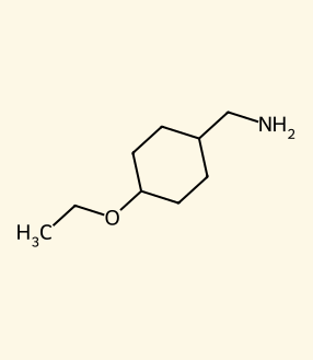 CCOC1CCC(CN)CC1